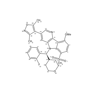 COc1ccc(S(C)(=O)=O)c2c1c1ncc(-c3c(C)noc3C)cc1n2[C@H](c1ccccc1F)C1CCOCC1